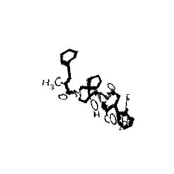 C[C@H](CC1CCCCC1)C(=O)N1CC[C@@](O)(Cn2cc(C(=O)O)c(-c3ccccc3F)cc2=O)C2(CCCC2)C1